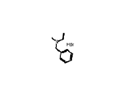 Br.CCN(C)Cc1ccccc1